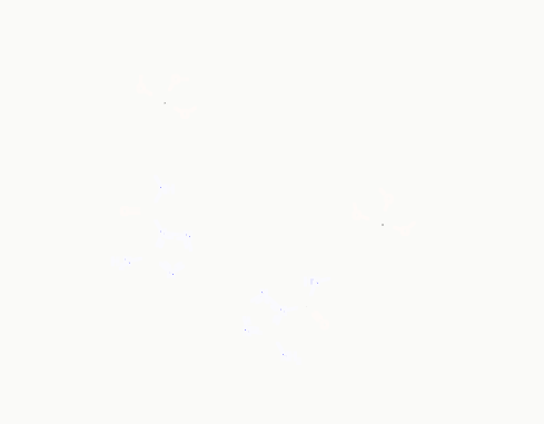 CCO[Si](CCCNC(=O)n1nc(SSc2nc(N)n(C(=O)NCCC[Si](OCC)(OCC)OCC)n2)nc1N)(OCC)OCC